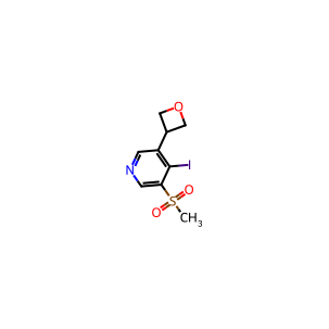 CS(=O)(=O)c1cncc(C2COC2)c1I